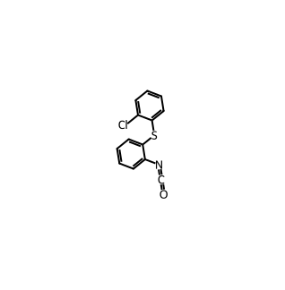 O=C=Nc1ccccc1Sc1ccccc1Cl